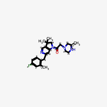 Cc1cc(F)ccc1Cc1cc2c(cn1)C(C)(C)CN2C(=O)CN1CCN[C@H](C)C1